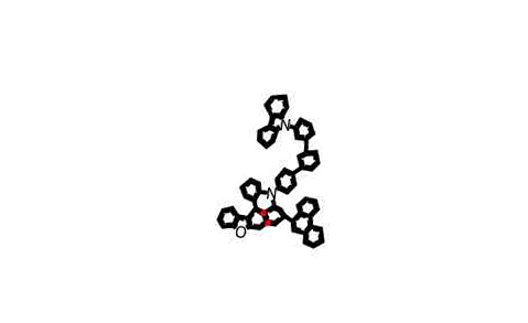 c1cc(-c2ccc(N(c3cccc(-c4cc5ccccc5c5ccccc45)c3)c3ccccc3-c3cccc4oc5ccccc5c34)cc2)cc(-c2cccc(-n3c4ccccc4c4ccccc43)c2)c1